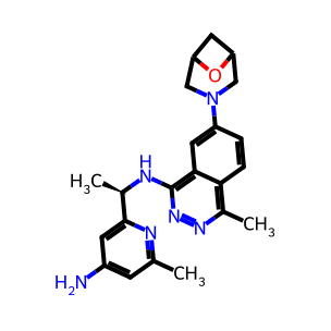 Cc1cc(N)cc([C@@H](C)Nc2nnc(C)c3ccc(N4CC5CC(C4)O5)cc23)n1